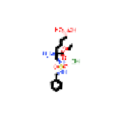 CCOC(=O)C(N)(CCCCB(O)O)CNS(=O)(=O)NCc1ccccc1.Cl